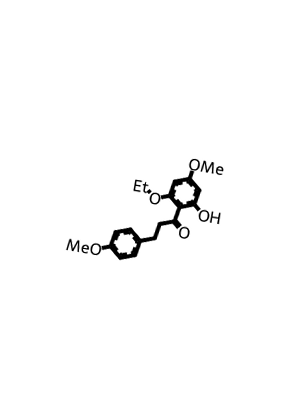 CCOc1cc(OC)cc(O)c1C(=O)CCc1ccc(OC)cc1